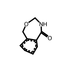 O=C1NCOCc2ccccc21